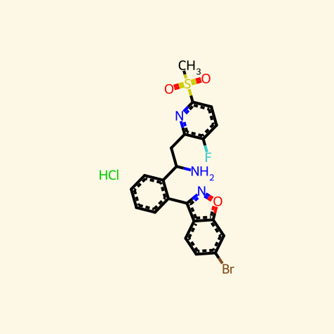 CS(=O)(=O)c1ccc(F)c(CC(N)c2ccccc2-c2noc3cc(Br)ccc23)n1.Cl